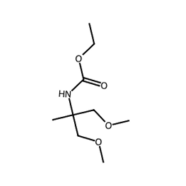 CCOC(=O)NC(C)(COC)COC